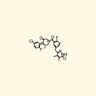 Cc1c(Cc2ccc(F)c(C(=O)N3CC(=O)N(c4cc(Cl)ccc4F)[C@H](C)C3)c2)n[nH]c(=O)c1C